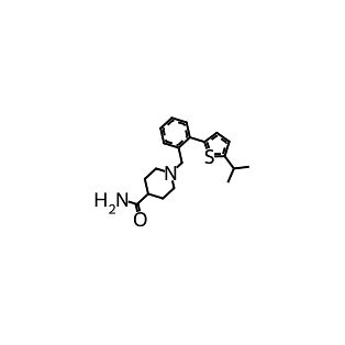 CC(C)c1ccc(-c2ccccc2CN2CCC(C(N)=O)CC2)s1